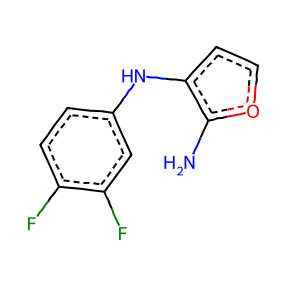 Nc1occc1Nc1ccc(F)c(F)c1